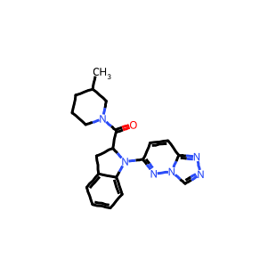 CC1CCCN(C(=O)C2Cc3ccccc3N2c2ccc3nncn3n2)C1